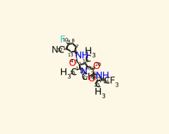 Cc1c(C(=O)Nc2ccc(F)c(C#N)c2)c(C)n(C)c1C(=O)C(=O)N[C@H](C)C(F)(F)F